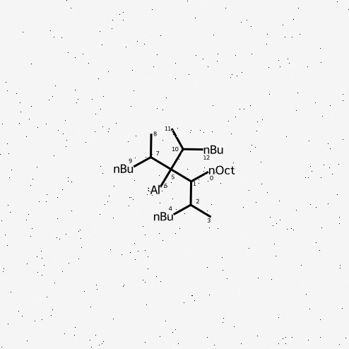 CCCCCCCCC(C(C)CCCC)[C]([Al])(C(C)CCCC)C(C)CCCC